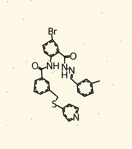 Cc1cccc(C=NNC(=O)c2cc(Br)ccc2NC(=O)c2cccc(CSc3ccncc3)c2)c1